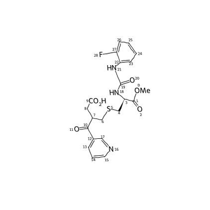 COC(=O)[C@@H](CSCC(CC(=O)O)C(=O)c1cccnc1)NC(=O)Nc1ccccc1F